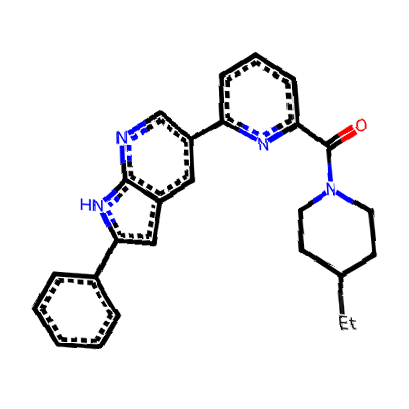 CCC1CCN(C(=O)c2cccc(-c3cnc4[nH]c(-c5ccccc5)cc4c3)n2)CC1